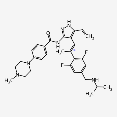 C=Cc1[nH]nc(NC(=O)c2ccc(N3CCN(C)CC3)cc2)c1/C=C(\C)c1c(F)cc(CNC(C)C)cc1F